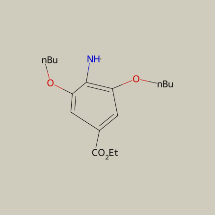 CCCCOc1cc(C(=O)OCC)cc(OCCCC)c1[NH]